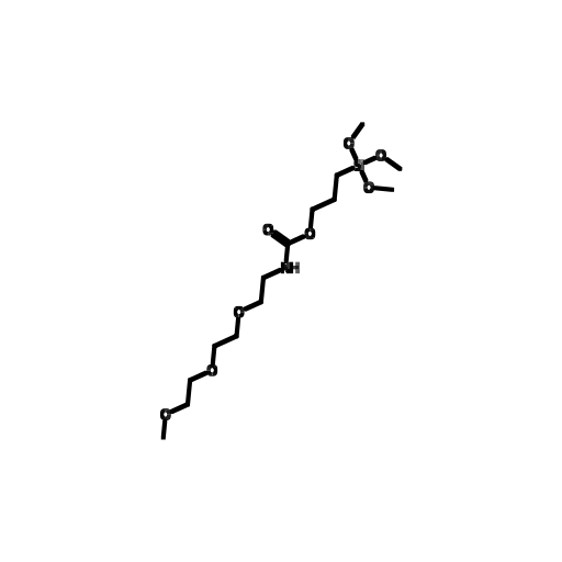 COCCOCCOCCNC(=O)OCCC[Si](OC)(OC)OC